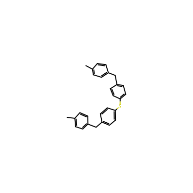 Cc1ccc(Cc2ccc(Sc3ccc(Cc4ccc(C)cc4)cc3)cc2)cc1